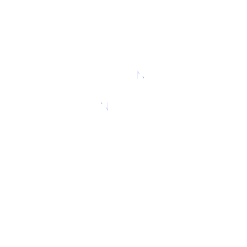 C1=NC(=Nc2ccccc2)SC1